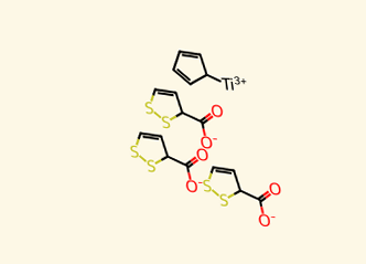 O=C([O-])C1C=CSS1.O=C([O-])C1C=CSS1.O=C([O-])C1C=CSS1.[Ti+3][CH]1C=CC=C1